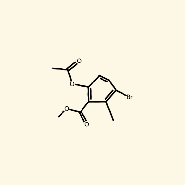 COC(=O)c1c(OC(C)=O)ccc(Br)c1C